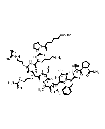 CCCCCCCCCCCCCCCC(=O)N1CCC[C@H]1C(=O)N[C@@H](CCCCN)C(=O)N[C@@H](CCCNC(=N)N)C(=O)N[C@@H](CCCNC(=N)N)C(=O)N[C@@H](CO)C(=O)N[C@@H](C)C(=O)N[C@@H](CC(=O)O)C(=O)N[C@H](C(=O)N[C@@H](Cc1ccccc1)C(=O)N[C@H](C(=O)N1CCC[C@H]1C(N)=O)[C@@H](C)CC)[C@@H](C)CC